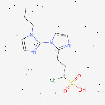 CCCn1ccnc1-n1ccnc1CCC(Cl)S(=O)(=O)O